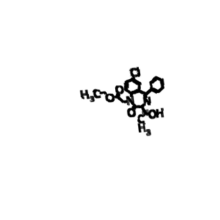 CCOC(=O)CN1C(=O)C([C@@H](C)O)N=C(c2ccccc2)c2cc(Cl)ccc21